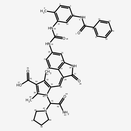 Cc1ccc(NC(=O)c2ccccc2)cc1NC(=O)Nc1ccc2c(c1)NC(=O)C2=Cc1c(C)c(C(=O)O)c(C)n1C(C(N)=O)N1CCCC1